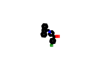 OC(c1ccc(Cl)cc1)C1CCN(CC23CC(c4ccccc42)c2ccccc23)CC1